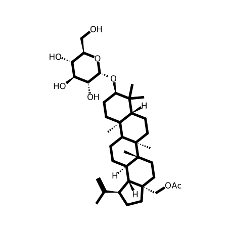 C=C(C)[C@@H]1CC[C@]2(COC(C)=O)CC[C@]3(C)[C@H](CCC4[C@@]5(C)CC[C@@H](O[C@H]6O[C@H](CO)[C@@H](O)[C@H](O)[C@H]6O)C(C)(C)[C@@H]5CC[C@]43C)[C@@H]12